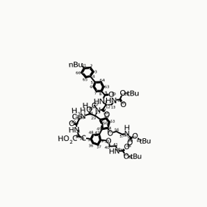 CCCCc1ccc(-c2ccc(C(=O)N[C@@H](CNC(=O)OC(C)(C)C)C(=O)N(C)[C@@H]3C(=O)N[C@@H](C)C(=O)N[C@H](C(=O)O)Cc4ccc(OCCNC(=O)OC(C)(C)C)c(c4)-c4cc3ccc4OCCNC(=O)OC(C)(C)C)cc2)cc1